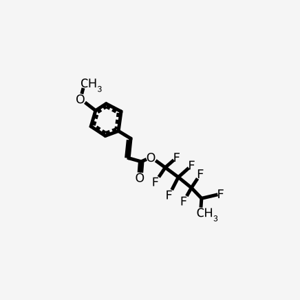 COc1ccc(C=CC(=O)OC(F)(F)C(F)(F)C(F)(F)C(C)F)cc1